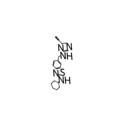 C#Cc1cncc(NCc2ccc3nc(NC4CCCCC4)sc3c2)n1